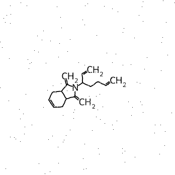 C=CCCC(C=C)N1C(=C)C2CC=CCC2C1=C